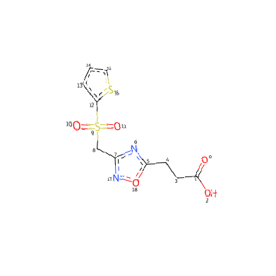 O=C(O)CCc1nc(CS(=O)(=O)c2cccs2)no1